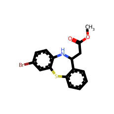 COC(=O)CC1Nc2ccc(Br)cc2Sc2ccccc21